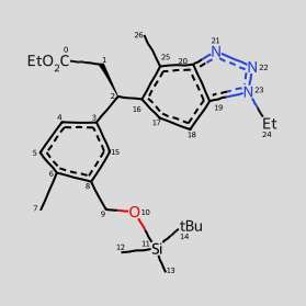 CCOC(=O)C[C@H](c1ccc(C)c(CO[Si](C)(C)C(C)(C)C)c1)c1ccc2c(nnn2CC)c1C